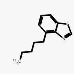 CCCCCc1cccc2scnc12